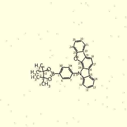 CC1(C)OB(c2ccc(-n3c4ccccc4c4ccc5c6ccccc6oc5c43)cc2)OC1(C)C